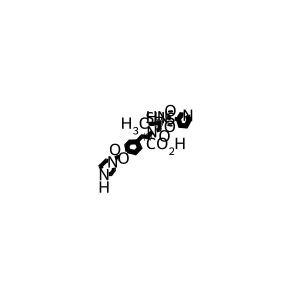 CC1(S)[C@H](NS(=O)(=O)c2cccnc2)C(=O)N1[C@@H](Cc1ccc(OC(=O)N2CCNCC2)cc1)C(=O)O